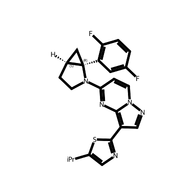 CC(C)c1cnc(-c2cnn3ccc(N4CC[C@H]5C[C@]54c4cc(F)ccc4F)nc23)s1